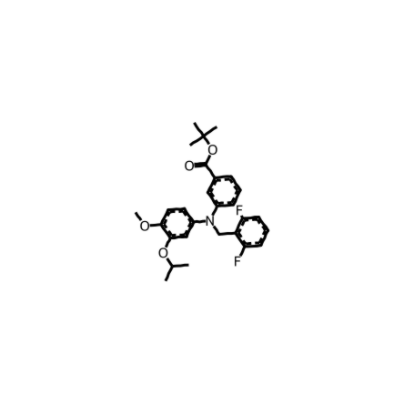 COc1ccc(N(Cc2c(F)cccc2F)c2cccc(C(=O)OC(C)(C)C)c2)cc1OC(C)C